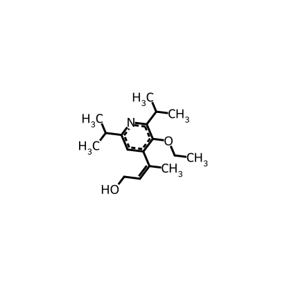 CCOc1c(/C(C)=C\CO)cc(C(C)C)nc1C(C)C